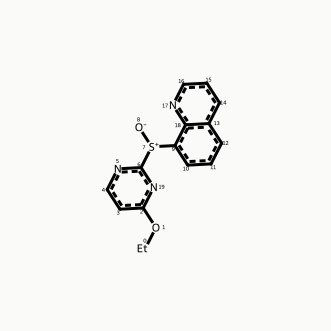 CCOc1ccnc([S+]([O-])c2cccc3cccnc23)n1